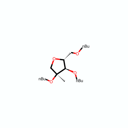 CCCCOC[C@H]1OC[C@](C)(OCCCC)[C@@H]1OCCCC